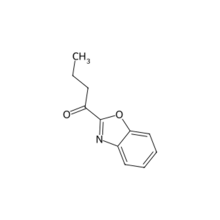 CCCC(=O)c1nc2ccccc2o1